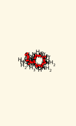 CC(C)C[C@@H]1NC(=O)[C@@H](CC(C)C)NC(=O)[C@H](CCN)NC(=O)[C@@H](NC(=O)[C@H](CCN)NC(=O)[C@@H](NC(=O)C(O)C2CCCCC2)C(C)O)CCNC(=O)C(C(C)O)NC(=O)[C@H](CCN)NC(=O)[C@H](CCN)NC1=O